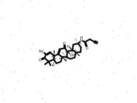 C#CCC(=O)N[C@@]1(C)CC[C@]2(C)CC[C@@]3(C)[C@]4(C)CC[C@H]5C(C)(C)C(=O)C(C#N)=C[C@]5(C)C4=CC(=O)[C@]3(O)[C@@H]2C1